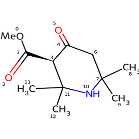 COC(=O)[C@H]1C(=O)CC(C)(C)NC1(C)C